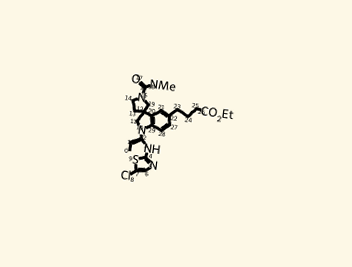 CC=C(Nc1ncc(Cl)s1)N1CC2(CCN(C(=O)NC)C2)c2cc(CCCC(=O)OCC)ccc21